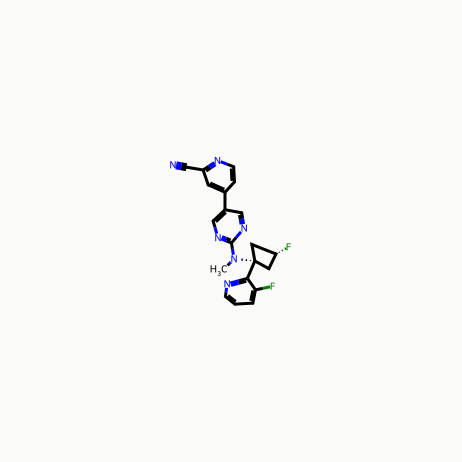 CN(c1ncc(-c2ccnc(C#N)c2)cn1)[C@]1(c2ncccc2F)C[C@H](F)C1